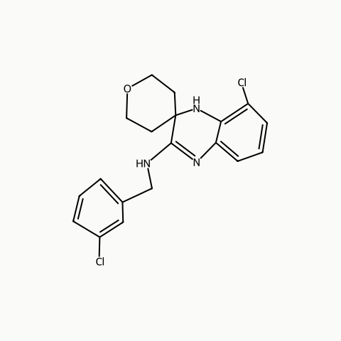 Clc1cccc(CNC2=Nc3cccc(Cl)c3NC23CCOCC3)c1